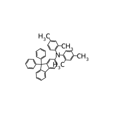 Cc1ccc(N(c2ccc3c(c2)C(c2ccccc2)(c2ccccc2)c2ccccc2-3)c2ccc(C)cc2C)c(C)c1